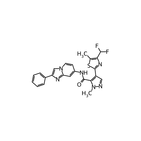 Cc1sc(-c2cnn(C)c2C(=O)Nc2ccn3cc(-c4ccccc4)nc3c2)nc1C(F)F